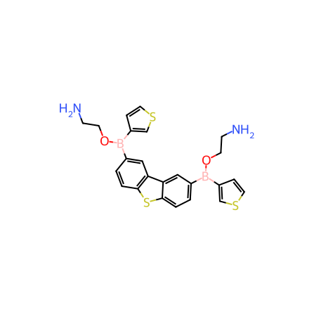 NCCOB(c1ccsc1)c1ccc2sc3ccc(B(OCCN)c4ccsc4)cc3c2c1